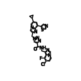 O=C(NCc1ncn2ccc(Cl)c(F)c12)c1cn(Cc2cn3cc(C4CC4)cc(-c4cncs4)c3n2)nn1